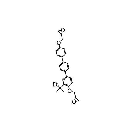 CCC(C)(C)c1cc(-c2ccc(-c3ccc(OCC4CO4)cc3)cc2)ccc1OCC1CO1